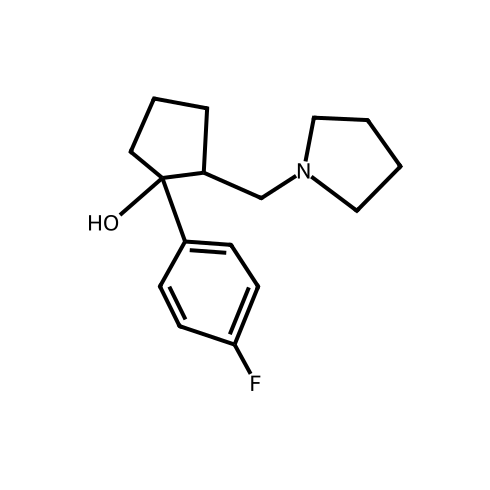 OC1(c2ccc(F)cc2)CCCC1CN1CCCC1